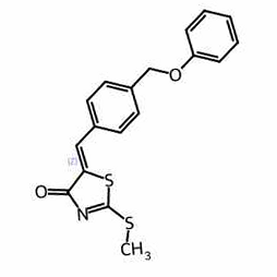 CSC1=NC(=O)/C(=C/c2ccc(COc3ccccc3)cc2)S1